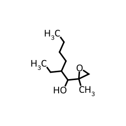 CCCCC(CC)C(O)C1(C)CO1